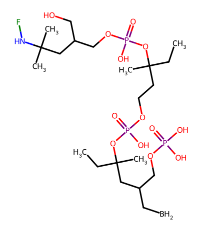 BCC(COP(=O)(O)O)CC(C)(CC)OP(=O)(O)OCCC(C)(CC)OP(=O)(O)OCC(CO)CC(C)(C)NF